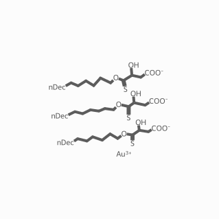 CCCCCCCCCCCCCCCCOC(=S)C(O)CC(=O)[O-].CCCCCCCCCCCCCCCCOC(=S)C(O)CC(=O)[O-].CCCCCCCCCCCCCCCCOC(=S)C(O)CC(=O)[O-].[Au+3]